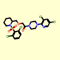 O=C(COCC1CCCCN1S(=O)(=O)c1c(Cl)cccc1Cl)N1CCN(c2ncc(Cl)cc2Cl)CC1